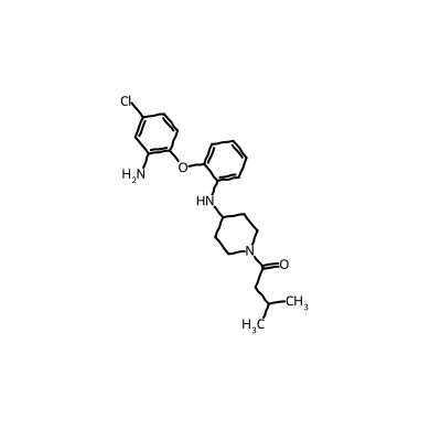 CC(C)CC(=O)N1CCC(Nc2ccccc2Oc2ccc(Cl)cc2N)CC1